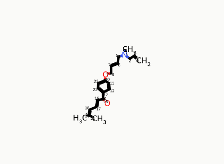 C=CCN(C)C/C=C/COc1ccc(C(=O)/C=C/C=C(C)C)cc1